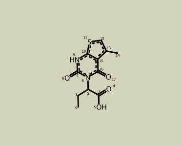 CCC(C(=O)O)n1c(=O)[nH]c2scc(C)c2c1=O